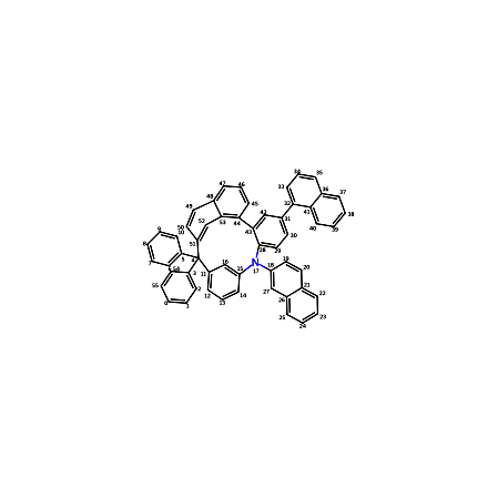 c1ccc(C2(c3ccccc3)c3cccc(c3)N(c3ccc4ccccc4c3)c3ccc(-c4cccc5ccccc45)cc3-c3cccc4ccc2cc34)cc1